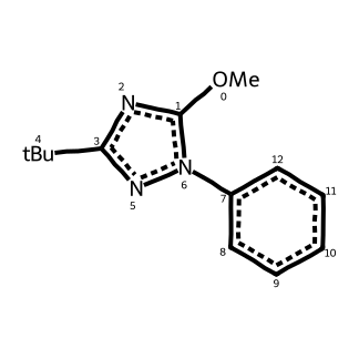 COc1nc(C(C)(C)C)nn1-c1ccccc1